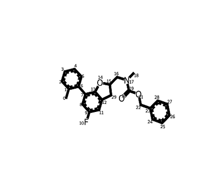 Cc1ccccc1-c1cc(F)cc2c1OC(CN(C)C(=O)OCc1ccccc1)C2